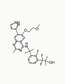 COCCOc1cc2c(NC(C)(C)c3cccc(C(F)(F)C(C)(C)O)c3F)nc(C)nc2cc1-c1cc[nH]n1